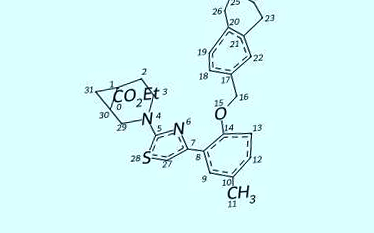 CCOC(=O)[C@@]12CCN(c3nc(-c4cc(C)ccc4OCc4ccc5c(c4)CCNC5)cs3)CC1C2